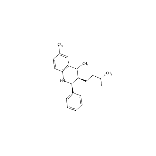 CC1c2cc(C(F)(F)F)ccc2N[C@H](c2ccccc2)[C@@H]1CC[C@H](C)I